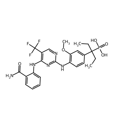 CCC(CC)(c1ccc(Nc2ncc(C(F)(F)F)c(Nc3ccccc3C(N)=O)n2)c(OC)c1)P(=O)(O)O